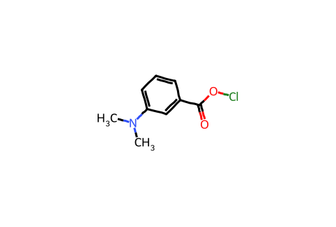 CN(C)c1cccc(C(=O)OCl)c1